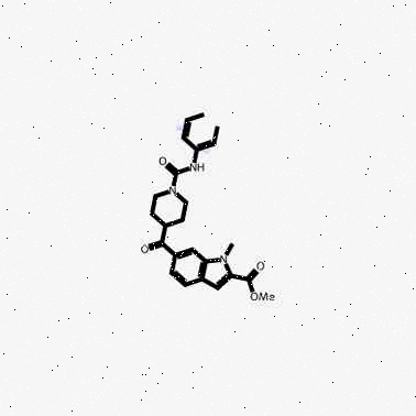 C/C=C\C(=C/C)NC(=O)N1CCC(C(=O)c2ccc3cc(C(=O)OC)n(C)c3c2)CC1